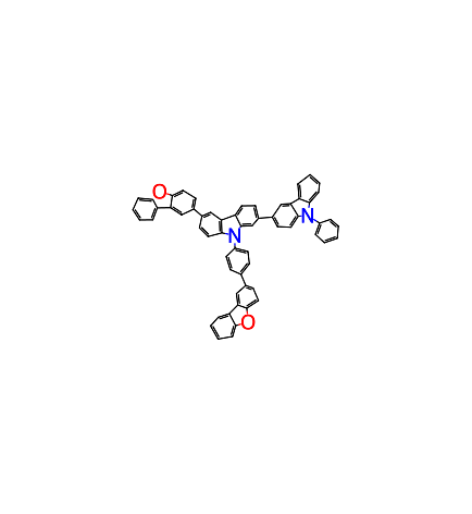 c1ccc(-n2c3ccccc3c3cc(-c4ccc5c6cc(-c7ccc8oc9ccccc9c8c7)ccc6n(-c6ccc(-c7ccc8oc9ccccc9c8c7)cc6)c5c4)ccc32)cc1